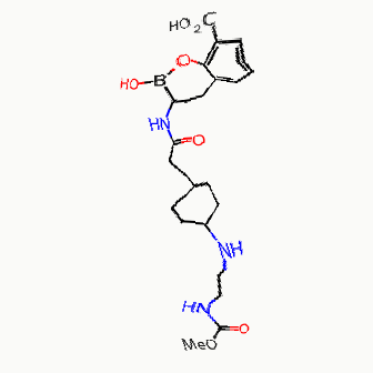 COC(=O)NCCNC1CCC(CC(=O)NC2Cc3cccc(C(=O)O)c3OB2O)CC1